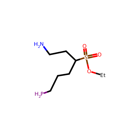 CCOS(=O)(=O)C(CCN)CCCP